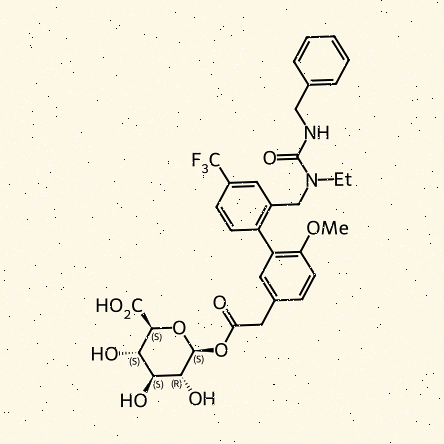 CCN(Cc1cc(C(F)(F)F)ccc1-c1cc(CC(=O)O[C@@H]2O[C@H](C(=O)O)[C@@H](O)[C@H](O)[C@H]2O)ccc1OC)C(=O)NCc1ccccc1